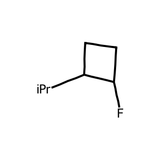 CC(C)C1CCC1F